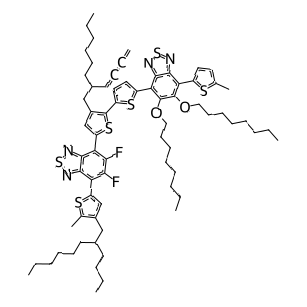 C=C=C=CC(CCCCCC)Cc1cc(-c2c(F)c(F)c(-c3cc(CC(CCCC)CCCCCC)c(C)s3)c3nsnc23)sc1-c1ccc(-c2c(OCCCCCCCC)c(OCCCCCCCC)c(-c3ccc(C)s3)c3nsnc23)s1